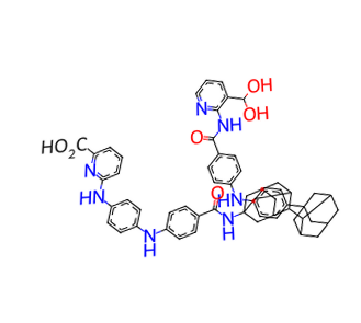 O=C(Nc1ncccc1C(O)O)c1ccc(Nc2ccc(C34CC5CC(C3)C(C3C6CC7CC3CC(NC(=O)c3ccc(Nc8ccc(Nc9cccc(C(=O)O)n9)cc8)cc3)(C7)C6)C(C5)C4)cc2)cc1